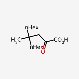 CCCCCCC(C)(CCCCCC)CC(=O)C(=O)O